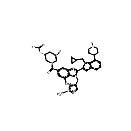 COc1cc(C(=O)N2C[C@H](F)C[C@@H](OC(N)=O)C2)cc2nc(-c3cc4cccc(C5CCN(C(C)=O)CC5)c4n3CC3CC3)n(Cc3cnn(C)c3)c12